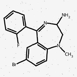 CN1CC(N)N=C(c2ccccc2F)c2cc(Br)ccc21